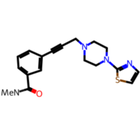 CNC(=O)c1cccc(C#CCN2CCN(c3nccs3)CC2)c1